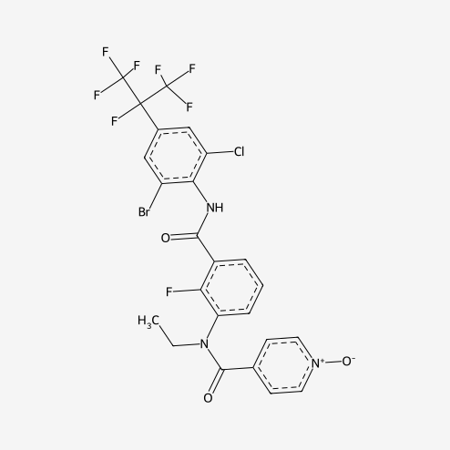 CCN(C(=O)c1cc[n+]([O-])cc1)c1cccc(C(=O)Nc2c(Cl)cc(C(F)(C(F)(F)F)C(F)(F)F)cc2Br)c1F